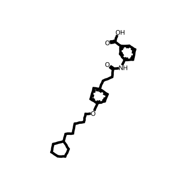 O=C(CCc1ccc(OCCCCCC2CCCCC2)cc1)Nc1cccc(C(=O)O)c1